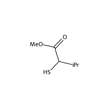 COC(=O)C(S)C(C)C